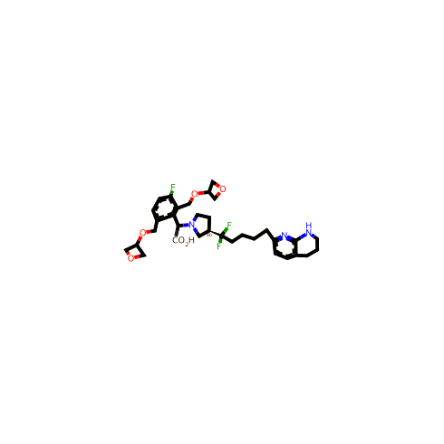 O=C(O)C(c1c(COC2COC2)ccc(F)c1COC1COC1)N1CC[C@@H](C(F)(F)CCCCc2ccc3c(n2)NCCC3)C1